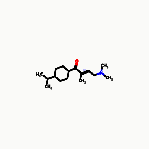 C/C(=C\CN(C)C)C(=O)C1CCC(C(C)C)CC1